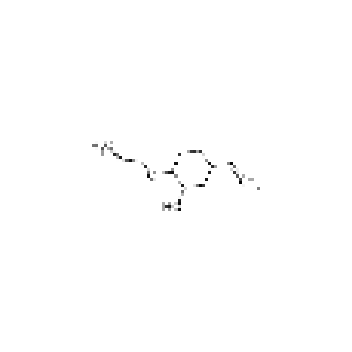 C=CCOC1CCC(C=C)CC1O